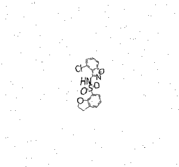 O=S(=O)(Nc1noc2cccc(Cl)c12)c1cccc2c1OCC2